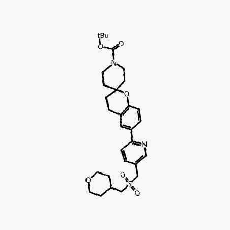 CC(C)(C)OC(=O)N1CCC2(CCc3cc(-c4ccc(CS(=O)(=O)CC5CCOCC5)cn4)ccc3O2)CC1